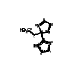 O=C(O)CC1(c2ncc[nH]2)N=CC=N1